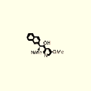 CNC[C@@H](c1ccc2ccccc2c1)[C@@H](O)c1cncc(OC)c1